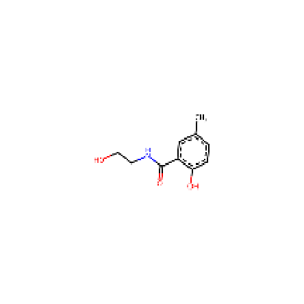 Cc1ccc(O)c(C(=O)NCCO)c1